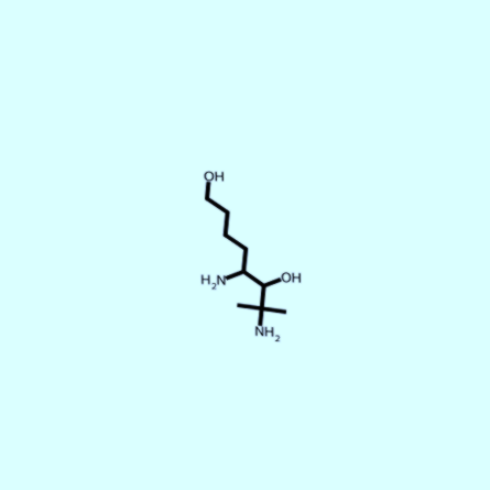 CC(C)(N)C(O)C(N)CCCCO